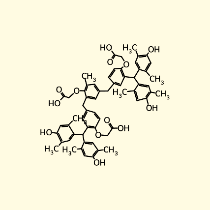 Cc1cc(C(c2cc(C)c(O)cc2C)c2cc(Cc3cc(C)c(OCC(=O)O)c(Cc4ccc(OCC(=O)O)c(C(c5cc(C)c(O)cc5C)c5cc(C)c(O)cc5C)c4)c3)ccc2OCC(=O)O)c(C)cc1O